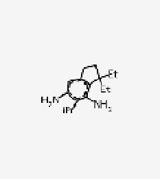 CCC1(CC)CCc2cc(N)c(C(C)C)c(N)c21